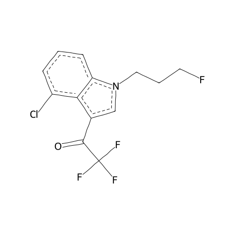 O=C(c1cn(CCCF)c2cccc(Cl)c12)C(F)(F)F